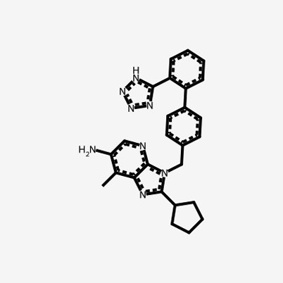 Cc1c(N)cnc2c1nc(C1CCCC1)n2Cc1ccc(-c2ccccc2-c2nnn[nH]2)cc1